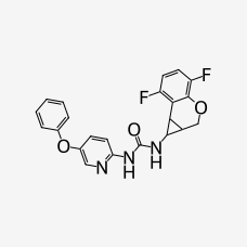 O=C(Nc1ccc(Oc2ccccc2)cn1)NC1C2COc3c(F)ccc(F)c3C21